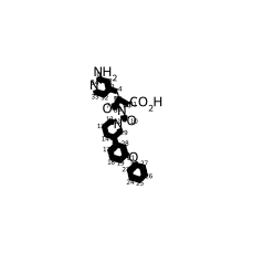 Nc1cc(C[C@H]2C(=O)N(C(=O)N3CCCC(c4cccc(Oc5ccccc5)c4)C3)[C@@H]2C(=O)O)ccn1